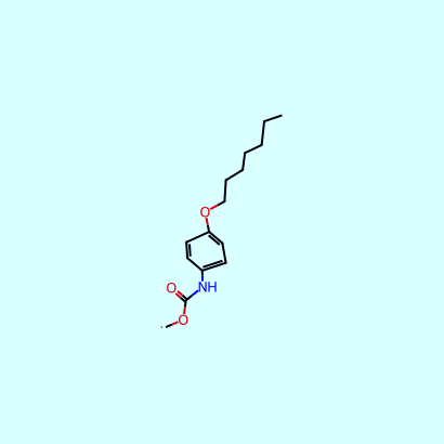 [CH2]OC(=O)Nc1ccc(OCCCCCCC)cc1